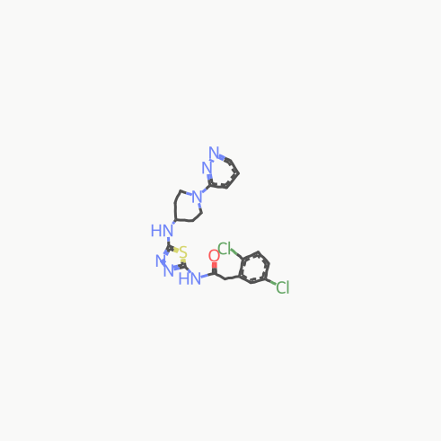 O=C(Cc1cc(Cl)ccc1Cl)Nc1nnc(NC2CCN(c3cccnn3)CC2)s1